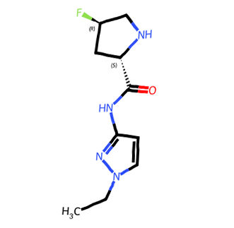 CCn1ccc(NC(=O)[C@@H]2C[C@@H](F)CN2)n1